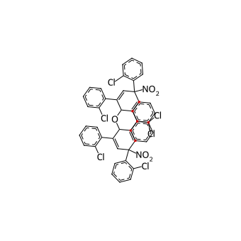 O=[N+]([O-])C1(c2ccccc2Cl)C=C(c2ccccc2Cl)C(OC2C(c3ccccc3Cl)=CC(c3ccccc3Cl)([N+](=O)[O-])C=C2c2ccccc2Cl)C(c2ccccc2Cl)=C1